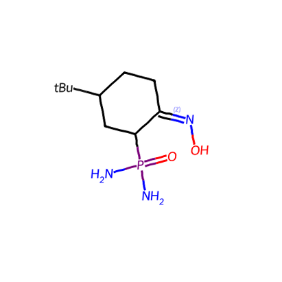 CC(C)(C)C1CC/C(=N/O)C(P(N)(N)=O)C1